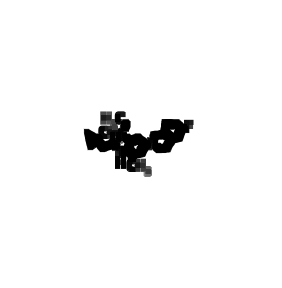 CCSc1cc(N2CCc3cc(F)ccc3C2)cc(C)c1NC(=O)CC1(C)CC1